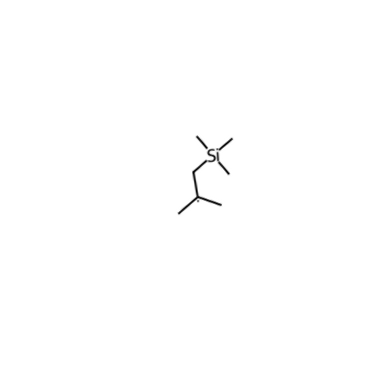 C[C](C)C[Si](C)(C)C